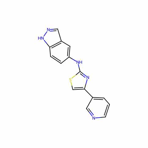 c1cncc(-c2csc(Nc3ccc4[nH]ncc4c3)n2)c1